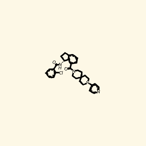 O=C(N[C@@H]1CCc2cccc(C(=O)N3CCC4(CC3)CCN(c3ccncc3)CC4)c21)c1ccccc1Cl